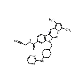 C#CCNC(=O)c1ccc2c(c1)N(CC1CCC(Nc3ncccn3)CC1)C(=O)/C2=C\c1[nH]c(C)cc1C